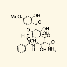 COc1cc(O)c2c(c1)OC1C(=C(O)C3(O)C(=O)C(C(N)=O)=C(O)C(NC(=O)c4ccccc4)C3C1(C)C)C2=O